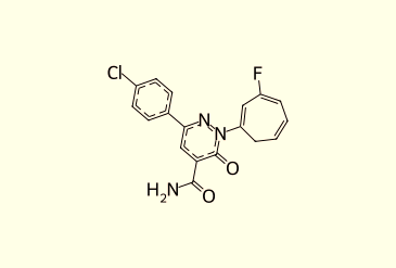 NC(=O)c1cc(-c2ccc(Cl)cc2)nn(C2=CC(F)=CC=CC2)c1=O